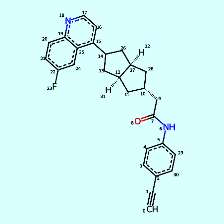 C#Cc1ccc(NC(=O)C[C@@H]2C[C@H]3CC(c4ccnc5ccc(F)cc45)C[C@H]3C2)cc1